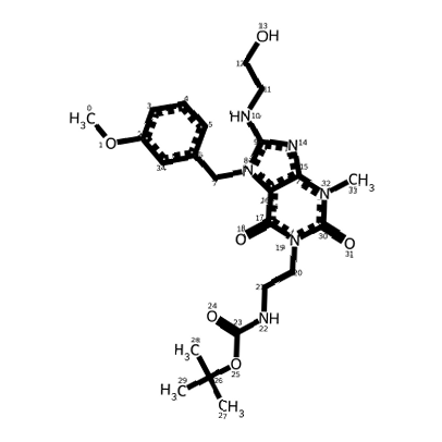 COc1cccc(Cn2c(NCCO)nc3c2c(=O)n(CCNC(=O)OC(C)(C)C)c(=O)n3C)c1